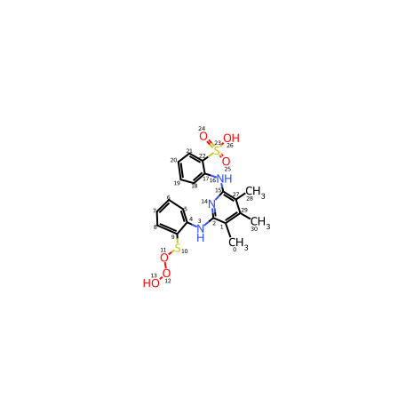 Cc1c(Nc2ccccc2SOOO)nc(Nc2ccccc2S(=O)(=O)O)c(C)c1C